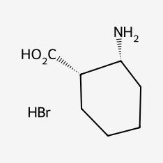 Br.N[C@@H]1CCCC[C@@H]1C(=O)O